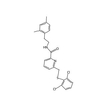 Cc1ccc(CCNC(=O)c2cccc(CSc3c(Cl)cccc3Cl)n2)c(C)c1